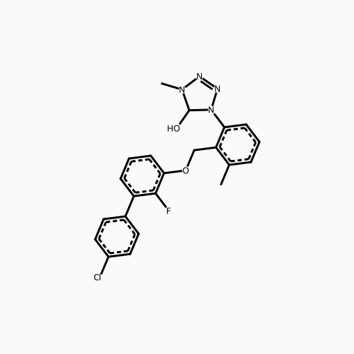 Cc1cccc(N2N=NN(C)C2O)c1COc1cccc(-c2ccc(Cl)cc2)c1F